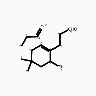 CCC1CC(C)(C)CC=C1CCC=O.CCC=O